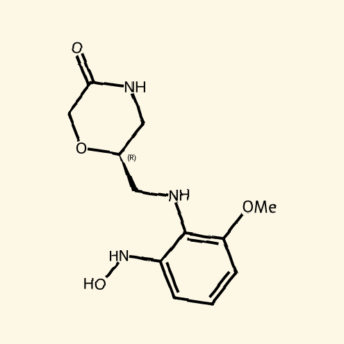 COc1cccc(NO)c1NC[C@@H]1CNC(=O)CO1